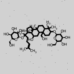 CC(C)=CCCC(C)(O[C@@H]1O[C@H](CO)[C@@H](O)[C@H](O)[C@H]1O)C1CCC2(C)C1C(O)CC1C3(CO)CCC(O[C@@H]4O[C@H](CO)[C@@H](O)[C@H](O)[C@H]4O)C(C)(C)C3CCC12C